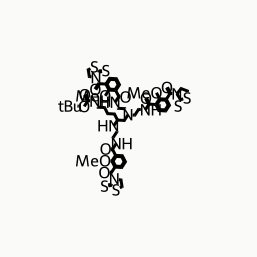 COc1c(C(=O)NCCNC(CCCCNC(=O)OC(C)(C)C)CN(CCNC(=O)c2cccc(C(=O)N3CCSC3=S)c2OC)CCNC(=O)c2cccc(C(=O)N3CCSC3=S)c2OC)cccc1C(=O)N1CCSC1=S